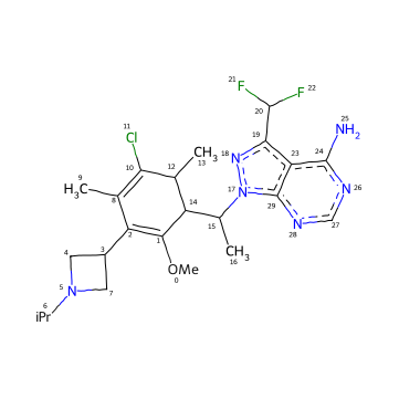 COC1=C(C2CN(C(C)C)C2)C(C)=C(Cl)C(C)C1C(C)n1nc(C(F)F)c2c(N)ncnc21